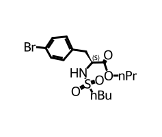 CCCCS(=O)(=O)N[C@@H](Cc1ccc(Br)cc1)C(=O)OCCC